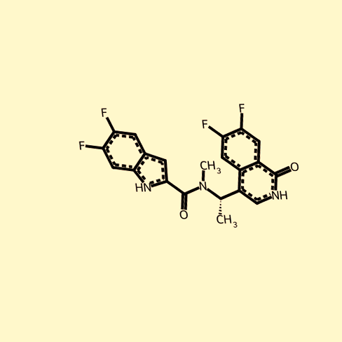 C[C@@H](c1c[nH]c(=O)c2cc(F)c(F)cc12)N(C)C(=O)c1cc2cc(F)c(F)cc2[nH]1